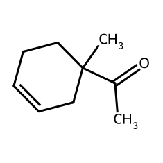 CC(=O)C1(C)CC=CCC1